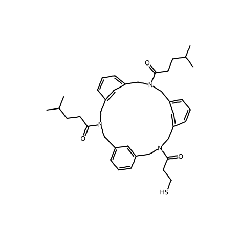 CC(C)CCC(=O)N1Cc2cccc(c2)CN(C(=O)CCS)Cc2cccc(c2)CN(C(=O)CCC(C)C)Cc2cccc(c2)C1